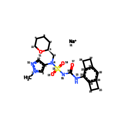 Cn1cc(N(C[C@H]2CCCCO2)S(=O)(=O)[N-]C(=O)Nc2c3c(cc4c2CC4)CC3)cn1.[Na+]